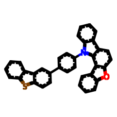 c1ccc2c(c1)oc1ccc3c4ccccc4n(-c4ccc(-c5ccc6sc7ccccc7c6c5)cc4)c3c12